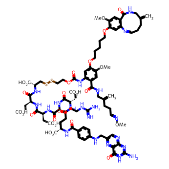 C=C1CC/C=N\c2cc(OCCCCCOc3cc(NC(=O)OCCSSC[C@H](NC(=O)[C@H](CC(=O)O)NC(=O)[C@H](CC(=O)O)NC(=O)[C@H](CCCNC(=N)N)NC(=O)[C@H](CC(=O)O)NC(=O)CC[C@H](NC(=O)c4ccc(NCc5cnc6nc(N)[nH]c(=O)c6n5)cc4)C(=O)O)C(=O)O)c(C(=O)NCC(=C)CC/C=N/OC)cc3OC)c(OC)cc2C(=O)NC1